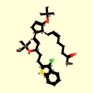 COC(=O)CCC/C=C\C[C@H]1C(O[Si](C)(C)C)=CC[C@@H]1/C=C/C(CCc1sc2ccccc2c1Cl)O[Si](C)(C)C(C)(C)C